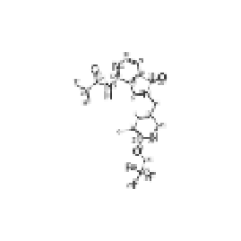 Cc1cc(CN2Cc3c(ccnc3NC(=O)C(C)C)C2=O)cnc1OCC(F)(F)F